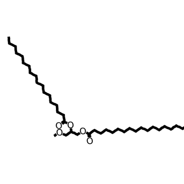 CCCCCCCCCCCCCCCCCC(=O)OCC(COC)OC(=O)CCCCCCCCCCCCCCCCC